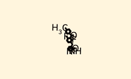 Cc1ccc(C(=O)c2c(F)ccc(Cc3ccn[nH]c3=O)c2F)cc1